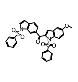 COc1ccc2c(c1)cc(C(=O)c1ccc3ccn(S(=O)(=O)c4ccccc4)c3c1)n2S(=O)(=O)c1ccccc1